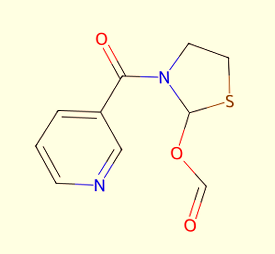 O=COC1SCCN1C(=O)c1cccnc1